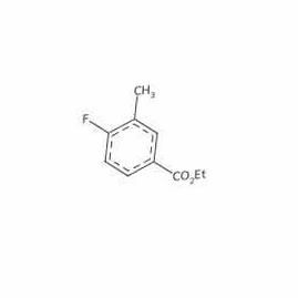 CCOC(=O)c1ccc(F)c(C)c1